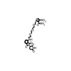 NC(=O)c1c([N+](=O)[O-])cnn1CCOCCOCCOCCNc1cccc2c1C(=O)N(C1CCC(=O)NC1=O)C2=O